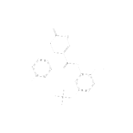 Cc1ccc(OC(F)(F)F)cc1NC(=O)C1=CNC(=O)C[C@H]1c1ccc(F)cc1